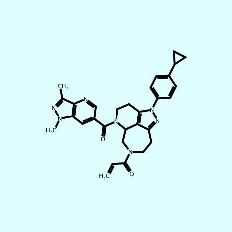 C=CC(=O)N1CCc2nn(-c3ccc(C4CC4)cc3)c3c2C(C1)N(C(=O)c1cnc2c(C)nn(C)c2c1)CC3